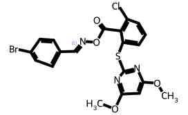 COc1cc(OC)nc(Sc2cccc(Cl)c2C(=O)O/N=C/c2ccc(Br)cc2)n1